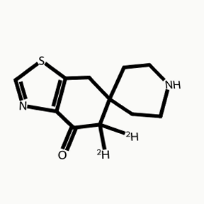 [2H]C1([2H])C(=O)c2ncsc2CC12CCNCC2